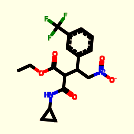 CCOC(=O)C(C(=O)NC1CC1)C(C[N+](=O)[O-])c1cccc(C(F)(F)F)c1